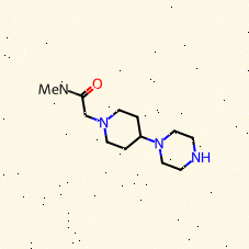 CNC(=O)CN1CCC(N2CCNCC2)CC1